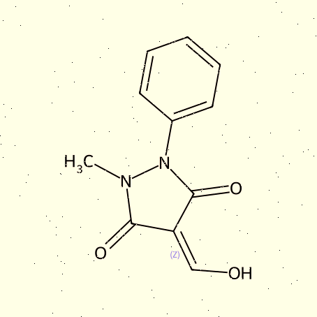 CN1C(=O)/C(=C/O)C(=O)N1c1ccccc1